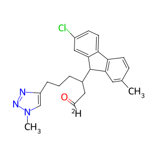 [2H]C(=O)CC(CCCc1cn(C)nn1)C1c2cc(C)ccc2-c2ccc(Cl)cc21